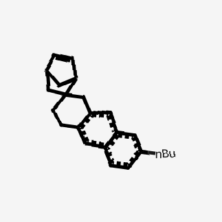 CCCCc1ccc2cc3c(cc2c1)CC1(CC3)CC2C=CC1C2